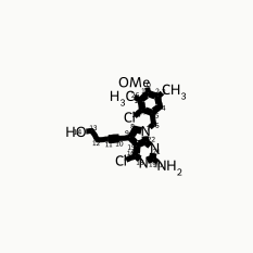 COc1c(C)cc(Cn2cc(C#CCCO)c3c(Cl)nc(N)nc32)c(Cl)c1C